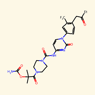 CCC(=O)Cc1ccc(-n2ccc(NC(=O)N3CCN(C(=O)C(C)(C)OC(N)=O)CC3)nc2=O)cc1C(F)(F)F